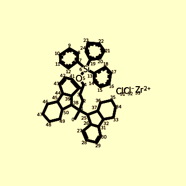 CC(CCCO[Si](c1ccccc1)(c1ccccc1)c1ccccc1)(C1C2C=CC=CC2C2CCCCC21)C1C2C=CC=CC2C2CCCCC21.[Cl-].[Cl-].[Zr+2]